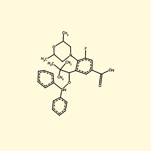 CC1CN(c2c(F)cc(C(=O)O)cc2C(O[SiH](c2ccccc2)c2ccccc2)C(C)(C)C)CC(C)O1